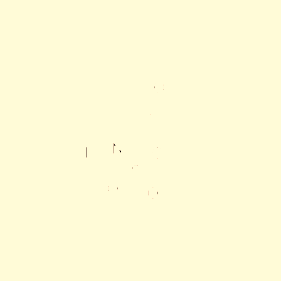 C=CC(=O)C=C.O=S(=O)(O)NF